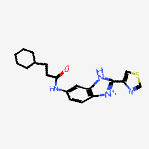 O=C(CCC1CCCCC1)Nc1ccc2c(c1)NC(c1cscn1)=[N+]2